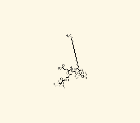 CCCCCCCCCCCCCCCCC(NC(=O)[C@H](CCCCNC(=O)OC(C)(C)C)NC(=O)CCC(=O)O)C(=O)OC(C)(C)C